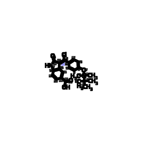 CC(C)(C)[Si](C)(C)Oc1ccc(/C(Cl)=C2/C(=O)Nc3ccc(C(=O)O)cc32)cc1